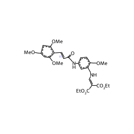 CCOC(=O)C(=CNc1cc(NC(=O)/C=C/c2c(OC)cc(OC)cc2OC)ccc1OC)C(=O)OCC